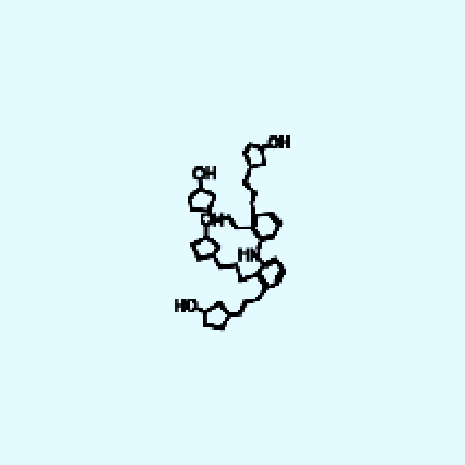 OC1CCC(CCCc2cccc(Nc3cccc(CCCC4CCC(O)C4)c3CCCC3CCC(O)C3)c2CCCC2CCC(O)C2)C1